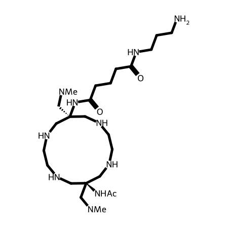 CNC[C@]1(NC(C)=O)CNCCNC[C@@](CNC)(NC(=O)CCCC(=O)NCCCN)CNCCNC1